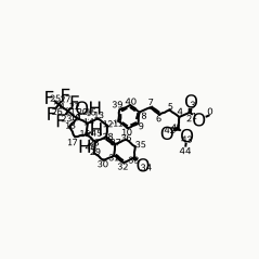 COC(=O)C(CC=Cc1ccc([C@H]2C[C@@]3(C)[C@@H](CC[C@@]3(O)C(F)(F)C(F)(F)F)[C@@H]3CCC4=CC(=O)CCC4=C32)cc1)C(=O)OC